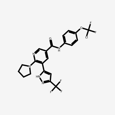 O=C(Nc1ccc(OC(F)(F)Cl)cc1)c1cnc(N2CCCC2)c(-c2cc(C(F)(F)F)n[nH]2)c1